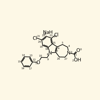 O=C(O)N1CCc2c(n(CCOc3ccccc3)c3cc(Cl)cc(Cl)c23)CC1.[NaH]